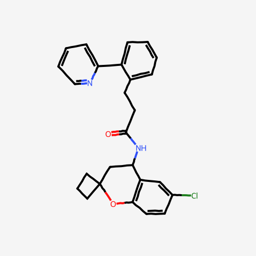 O=C(CCc1ccccc1-c1ccccn1)NC1CC2(CCC2)Oc2ccc(Cl)cc21